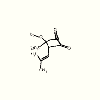 CCOC(=O)C1(OCC)C(=O)C(=O)C1C=C(C)C